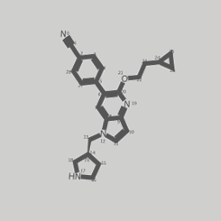 N#Cc1ccc(-c2cc3c(ccn3C[C@H]3CCNC3)nc2OCCC2CC2)cc1